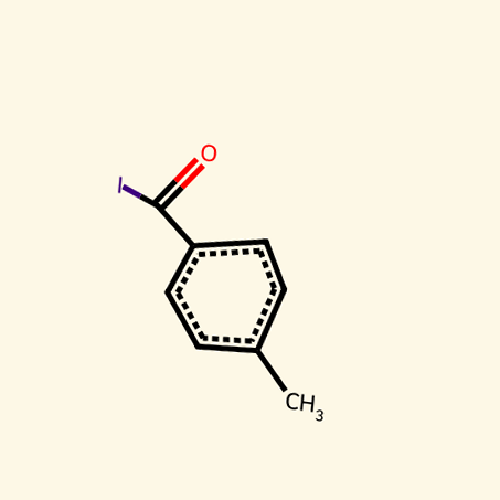 Cc1ccc(C(=O)I)cc1